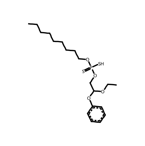 CCCCCCCCCOP(=S)(S)OCC(OCC)Oc1ccccc1